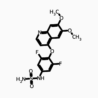 COc1cc2nccc(Oc3c(F)cc(NS(N)(=O)=O)cc3F)c2cc1OC